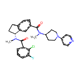 CN(C(=O)c1ccc2c(c1)[C@H](N(C)C(=O)c1cccc(F)c1Cl)CC2)C1CCN(c2ccncc2)CC1